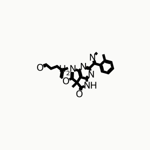 C=C(O/C=C(\C)CCC=O)C1(C)C(=O)Nc2nc(/C(=N/C)c3ccccc3C)nc(N)c21